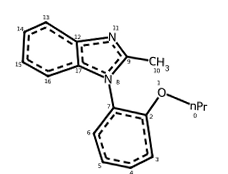 CCCOc1ccccc1-n1c(C)nc2ccccc21